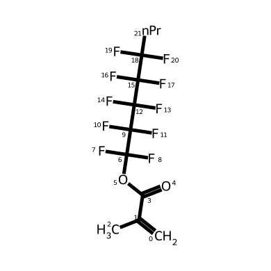 C=C(C)C(=O)OC(F)(F)C(F)(F)C(F)(F)C(F)(F)C(F)(F)CCC